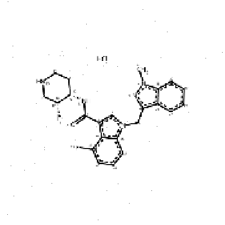 Cl.Cn1nc(Cn2cc(C(=O)N[C@H]3CCNC[C@H]3F)c3c(F)cccc32)c2ccccc21